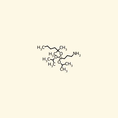 CCCCC(C)(C)O[Si](CCCN)(OC(C)C)OC(C)C